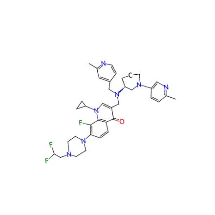 Cc1ccc(N2CCC[C@H](N(Cc3ccnc(C)c3)Cc3cn(C4CC4)c4c(F)c(N5CCN(CC(F)F)CC5)ccc4c3=O)C2)cn1